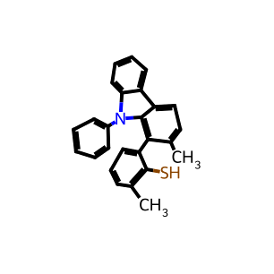 Cc1cccc(-c2c(C)ccc3c4ccccc4n(-c4ccccc4)c23)c1S